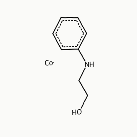 OCCNc1ccccc1.[Co]